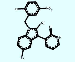 CCc1ccc2c(c1)c(-c1ccc[nH]c1=O)c(C(C)=O)n2Cc1cc([N+](=O)[O-])ccc1Cl